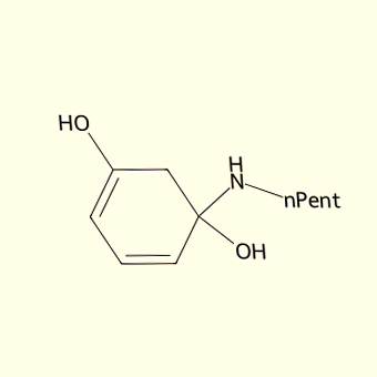 CCCCCNC1(O)C=CC=C(O)C1